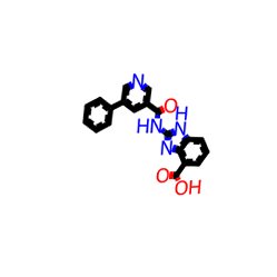 O=C(Nc1nc2c(C(=O)O)cccc2[nH]1)c1cncc(-c2ccccc2)c1